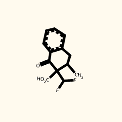 CC1Cc2ccccc2C(=O)C1(C(=O)O)C(F)F